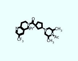 CC(=O)N1C(C)CN([C@@H]2CC[C@@](C(=O)N3CCc4ncc(C(F)(F)F)cc4C3)(C(C)C)C2)CC1C